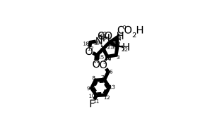 O=C(O)[C@H]1[C@@H]2C[C@@H](OCc3ccc(F)cc3)[C@@]3(C(=O)OCN3C(=O)O)[C@@H]21